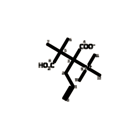 C=CCC(C(=O)[O-])(C(C)(C)C(=O)O)[N+](C)(C)C